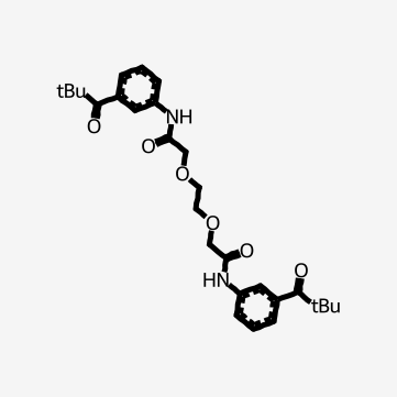 CC(C)(C)C(=O)c1cccc(NC(=O)COCCOCC(=O)Nc2cccc(C(=O)C(C)(C)C)c2)c1